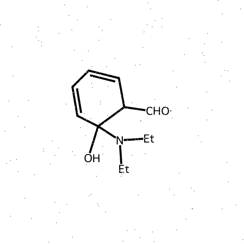 CCN(CC)C1(O)C=CC=CC1[C]=O